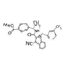 COC(=O)c1ccc(C(C)NC(=O)c2c(C#N)c3ccccc3n2CC2=CCCC(C(F)(F)F)=C2)cc1